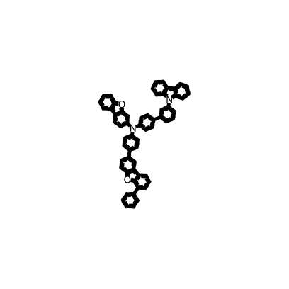 c1ccc(-c2cccc3c2oc2ccc(-c4ccc(N(c5ccc(-c6cccc(-n7c8ccccc8c8ccccc87)c6)cc5)c5ccc6c(c5)oc5ccccc56)cc4)cc23)cc1